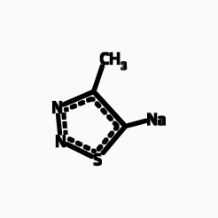 Cc1nns[c]1[Na]